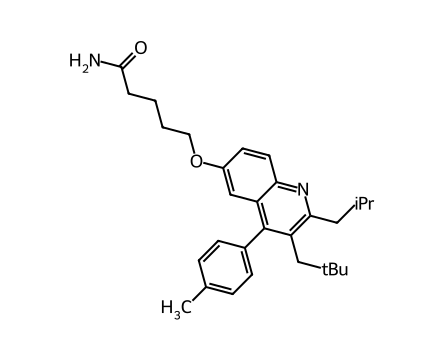 Cc1ccc(-c2c(CC(C)(C)C)c(CC(C)C)nc3ccc(OCCCCC(N)=O)cc23)cc1